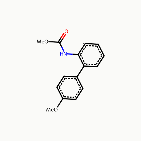 COC(=O)Nc1[c]cccc1-c1ccc(OC)cc1